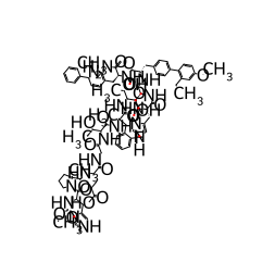 CCc1cc(OC)ccc1-c1ccc(C[C@H](NC(=O)[C@H](CC(=O)O)NC(=O)[C@H](Cc2c[nH]cn2)NC(=O)[C@@H](NC(=O)C(C)(Cc2ccccc2F)NC(=O)[C@@H](NC(=O)CNC(=O)[C@H](CCC(=O)O)NC(=O)C2(C)CCCN2C(=O)C(Cc2c[nH]cn2)NC(=O)OC)[C@@H](C)O)[C@@H](C)O)C(=O)N[C@@H](Cc2ccc(-c3ccccc3C)nc2)C(N)=O)cc1